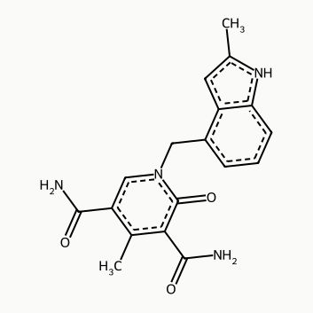 Cc1cc2c(Cn3cc(C(N)=O)c(C)c(C(N)=O)c3=O)cccc2[nH]1